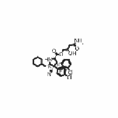 N#C[C@]1(c2ccc(Cl)cc2)[C@H](CC2CCCCC2)N[C@@H](C(=O)OC[C@@H](O)CC(N)=O)[C@@H]1c1cccc(Cl)c1F